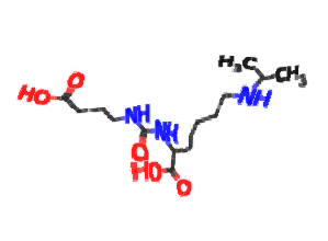 CC(C)NCCCCC(NC(=O)NCCCC(=O)O)C(=O)O